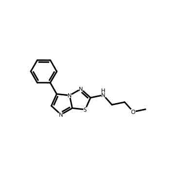 COCCNc1nn2c(-c3ccccc3)cnc2s1